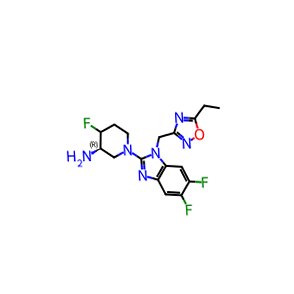 CCc1nc(Cn2c(N3CCC(F)[C@H](N)C3)nc3cc(F)c(F)cc32)no1